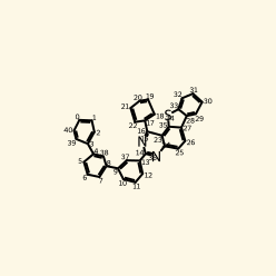 c1ccc(-c2cccc(-c3cccc(-c4nc(-c5ccccc5)c5c(ccc6c7ccccc7sc65)n4)c3)c2)cc1